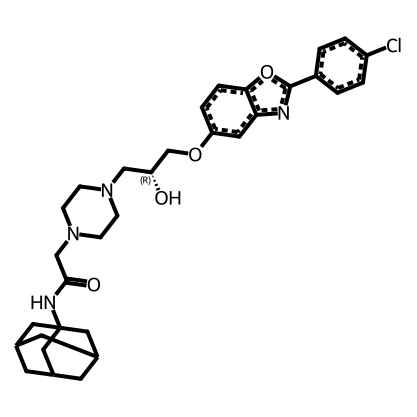 O=C(CN1CCN(C[C@@H](O)COc2ccc3oc(-c4ccc(Cl)cc4)nc3c2)CC1)NC12CC3CC(CC(C3)C1)C2